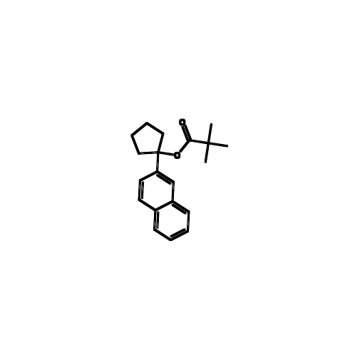 CC(C)(C)C(=O)OC1(c2ccc3ccccc3c2)CCCC1